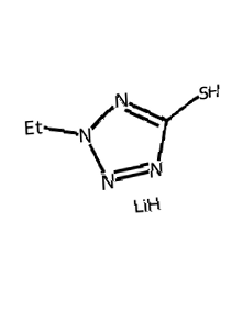 CCn1nnc(S)n1.[LiH]